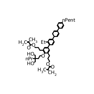 C=C(C)C(=O)OCCCc1cc(-c2ccc(C3C=CC(c4ccc(CCCCC)cc4)=CC3)cc2CC)cc(CCCOC(=O)C(=C)C)c1OCCC(CO)(CO)CCC